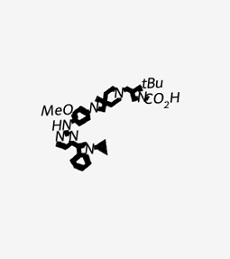 COc1cc(N2CC3(CCN(CC4CN(C(=O)O)C4C(C)(C)C)CC3)C2)ccc1Nc1nccc(-c2cn(C3CC3)c3ccccc23)n1